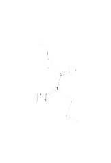 CCCC(=N)C(=O)OCC